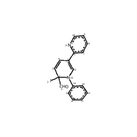 O=CC1(I)C=CC(c2ccccn2)=CN1c1ccccc1